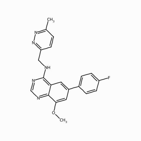 COc1cc(-c2ccc(F)cc2)cc2c(NCc3ccc(C)nn3)ncnc12